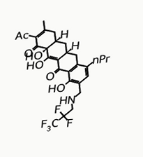 CCCc1cc(CNCC(F)(F)C(F)(F)F)c(O)c2c1C[C@H]1C[C@H]3CC(C)=C(C(C)=O)C(=O)[C@@]3(O)C(O)=C1C2=O